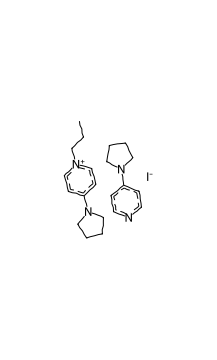 CCC[n+]1ccc(N2CCCC2)cc1.[I-].c1cc(N2CCCC2)ccn1